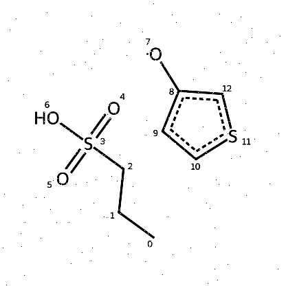 CCCS(=O)(=O)O.[O]c1ccsc1